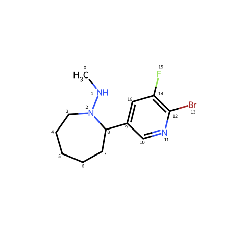 CNN1CCCCCC1c1cnc(Br)c(F)c1